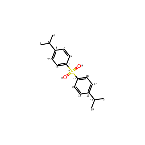 CC(C)c1ccc(S(=O)(=O)c2ccc(C(C)C)cc2)cc1